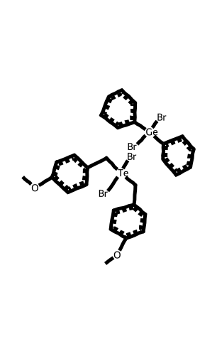 COc1ccc(C[Te](Br)(Br)Cc2ccc(OC)cc2)cc1.[Br][Ge]([Br])([c]1ccccc1)[c]1ccccc1